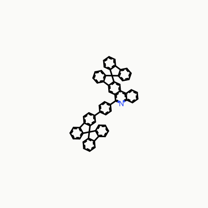 c1ccc2c(c1)-c1ccccc1C21c2ccccc2-c2ccc(-c3ccc(-c4nc5ccccc5c5cc6c(cc45)-c4ccccc4C64c5ccccc5-c5ccccc54)cc3)cc21